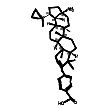 CC1([C@@H]2CC[C@]3(N)CC[C@]4(C)[C@H](CC[C@@H]5[C@@]6(C)CC=C(c7ccc(C(=O)O)cc7)C(C)(C)[C@@H]6CC[C@]54C)[C@@H]23)CC1